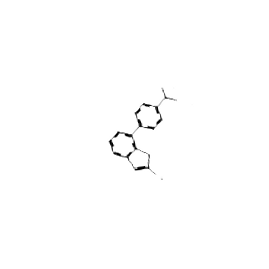 CC(C)c1ccc(-c2cccc3c2CC(Br)=C3)cc1